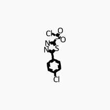 O=S(=O)(Cl)c1nnc(-c2ccc(Cl)cc2)s1